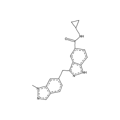 Cn1ncc2ccc(Cc3n[nH]c4ccc(C(=O)NC5CC5)cc34)cc21